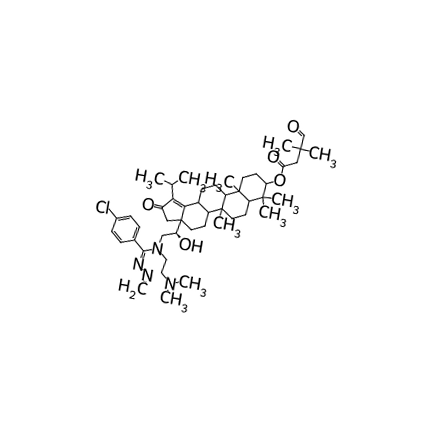 C=N/N=C(/c1ccc(Cl)cc1)N(CCN(C)C)C[C@H](O)C12CCC3C(CCC4C3(C)CCC3C(C)(C)C(OC(=O)CC(C)(C)C=O)CCC34C)C1=C(C(C)C)C(=O)C2